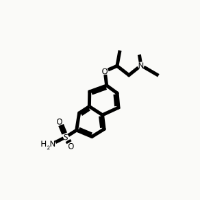 CC(CN(C)C)Oc1ccc2ccc(S(N)(=O)=O)cc2c1